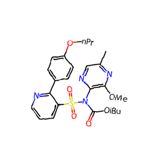 CCCOc1ccc(-c2ncccc2S(=O)(=O)N(C(=O)OCC(C)C)c2ncc(C)nc2OC)cc1